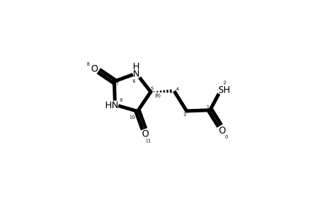 O=C(S)CC[C@H]1NC(=O)NC1=O